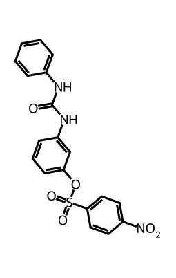 O=C(Nc1ccccc1)Nc1cccc(OS(=O)(=O)c2ccc([N+](=O)[O-])cc2)c1